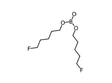 [O]B(OCCCCCF)OCCCCCF